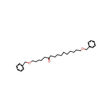 O=C(CCCCCCCCCCOCc1ccccc1)CCCCCOCc1ccccc1